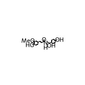 COc1cc(C=CC(=O)NC[C@@H](O)c2ccc(O)cc2)ccc1O